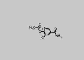 CC(C)Oc1ncc(C(N)=O)cc1Cl